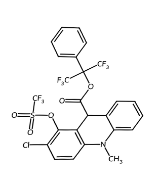 CN1c2ccccc2C(C(=O)OC(c2ccccc2)(C(F)(F)F)C(F)(F)F)c2c1ccc(Cl)c2OS(=O)(=O)C(F)(F)F